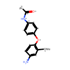 COc1cc(N)ccc1Oc1ccc(NC(=O)C(C)C)cc1